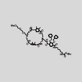 COCCOCCOCCN1CCNC(=O)c2ccc(c(C)c2C)C(=O)NCCN(CCNC(=O)c2ccc(C(=O)NCCCCCNC(=O)OC(C)(C)C)c(OCc3ccccc3)c2OCc2ccccc2)CCNC(=O)c2ccc(c(C)c2C)C(=O)NCC1